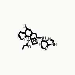 CCC(=O)N[C@]1(c2c(CCNc3ncnc4[nH]cnc34)cc(Cl)c3cccnc23)CCNC1